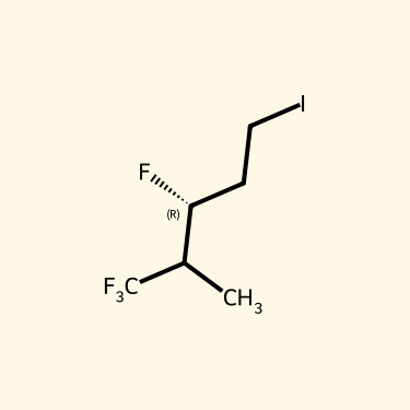 CC([C@H](F)CCI)C(F)(F)F